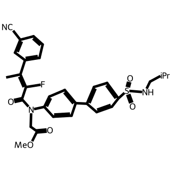 COC(=O)CN(C(=O)C(F)=C(C)c1cccc(C#N)c1)c1ccc(-c2ccc(S(=O)(=O)NCC(C)C)cc2)cc1